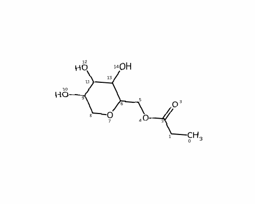 CCC(=O)OCC1OCC(O)C(O)C1O